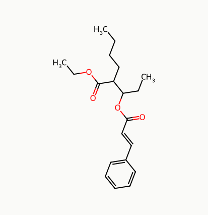 CCCCC(C(=O)OCC)C(CC)OC(=O)C=Cc1ccccc1